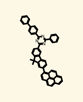 CC1(C)c2ccc(-c3nc(-c4ccccc4)nc(-c4ccc(-c5ccccc5)cc4)n3)cc2-c2ccc(-c3ccc4ccc5cccc6ccc3c4c56)cc21